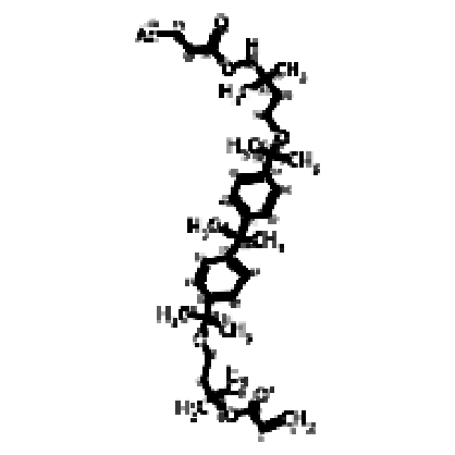 C=CC(=O)OC(C)(C)CCOC(C)(C)c1ccc(C(C)(C)c2ccc(C(C)(C)OCCC(C)(C)NOC(=O)CCC(C)=O)cc2)cc1